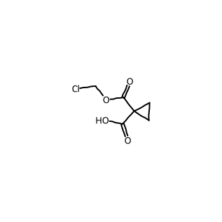 O=C(O)C1(C(=O)OCCl)CC1